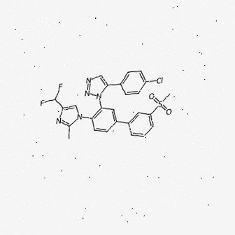 Cc1nc(C(F)F)cn1-c1ccc(-c2cccc(S(C)(=O)=O)c2)cc1-n1nncc1-c1ccc(Cl)cc1